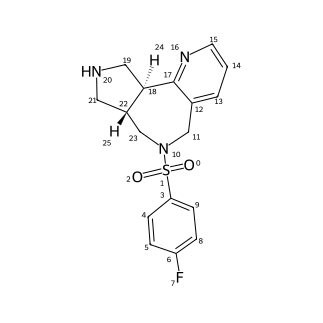 O=S(=O)(c1ccc(F)cc1)N1Cc2cccnc2[C@@H]2CNC[C@H]2C1